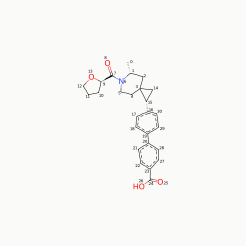 C[C@@H]1CC2(CCN1C(=O)[C@H]1CCCO1)C[C@@H]2c1ccc(-c2ccc(C(=O)O)cc2)cc1